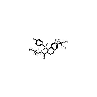 CC(C)(O)CNC(=O)C1CCc2cc(C(C)(O)C(F)(F)F)ccc2N1S(=O)(=O)c1ccc(F)cc1